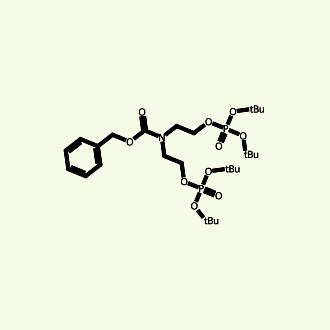 CC(C)(C)OP(=O)(OCCN(CCOP(=O)(OC(C)(C)C)OC(C)(C)C)C(=O)OCc1ccccc1)OC(C)(C)C